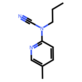 CCCN(C#N)c1ccc(C)cn1